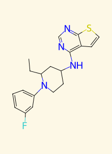 CCC1CC(Nc2ncnc3sccc23)CCN1c1cccc(F)c1